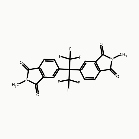 CN1C(=O)c2ccc(C(c3ccc4c(c3)C(=O)N(C)C4=O)(C(F)(F)F)C(F)(F)F)cc2C1=O